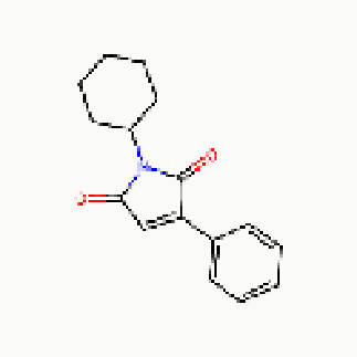 O=C1C=C(c2ccccc2)C(=O)N1C1CCCCC1